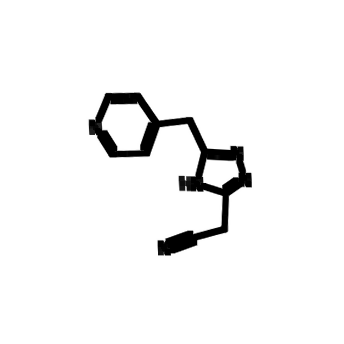 N#CCc1nnc(Cc2ccncc2)[nH]1